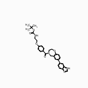 CC(C)(C)OC(=O)NCCOc1ccc(C(=O)N2CCOc3ccc(-c4ccc5nc[nH]c5c4)cc3C2)cc1